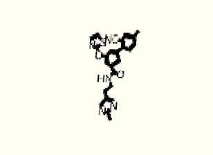 Cc1ccc(-c2cc(Oc3nccs3)cc(C(=O)NCCc3cnc(C)nc3)c2)c(C#N)c1